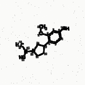 COc1cc(S)ccc1C1CCN(B(C)O)C1